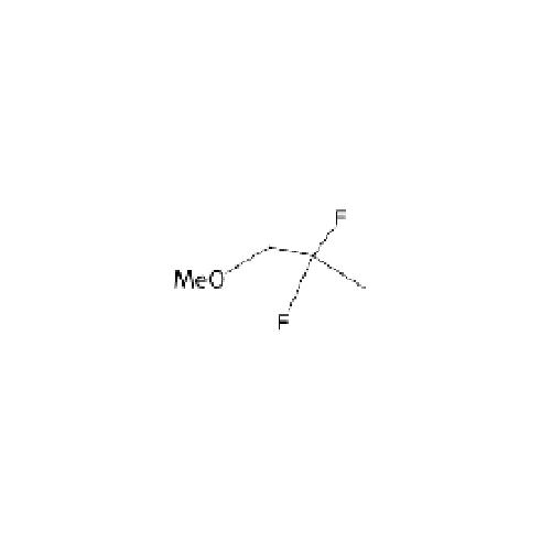 [CH2]OCC(C)(F)F